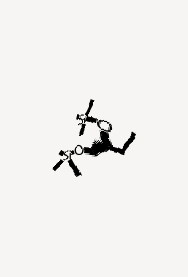 CCC(CO[Si](C)(C)C)O[Si](C)(C)C